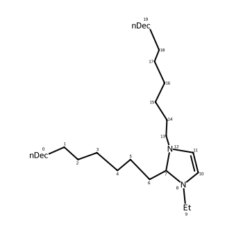 CCCCCCCCCCCCCCCCC1N(CC)C=CN1CCCCCCCCCCCCCCCC